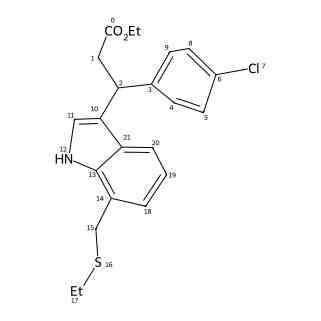 CCOC(=O)CC(c1ccc(Cl)cc1)c1c[nH]c2c(CSCC)cccc12